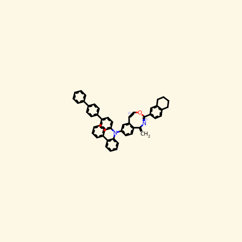 C=C1/N=C(/c2ccc3c(c2)CCCC3)O/C=C\c2cc(N(c3ccc(-c4ccc(-c5ccccc5)cc4)cc3)c3ccccc3-c3ccccc3)ccc21